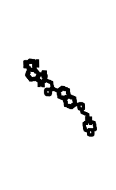 O=C(Cc1nc2ccc3scnc3c2s1)c1ccc2cc(OCCN3CCOCC3)ccc2c1